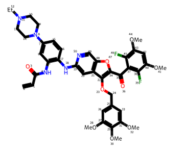 C=CC(=O)Nc1cc(N2CCN(CC)CC2)ccc1Nc1cc2c(OCc3cc(OC)c(OC)c(OC)c3)c(C(=O)c3c(F)c(OC)cc(OC)c3F)oc2cn1